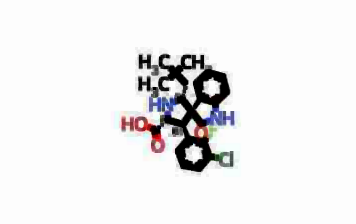 CC(C)(C)C[C@H]1N[C@@H](C(=O)O)[C@H](c2cccc(Cl)c2F)[C@@]12C(=O)Nc1ccccc12